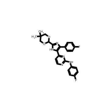 CC1(C)COC(c2nc(-c3ccc(F)cc3)c(-c3ccnc(Nc4ccc(F)cc4)n3)[nH]2)OC1